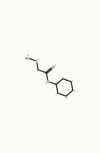 CC(=O)SCC(=O)OC1CCCCC1